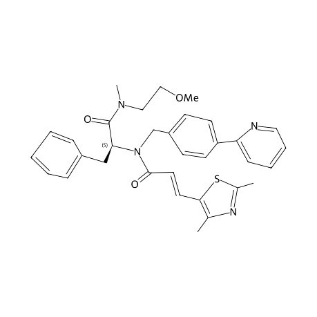 COCCN(C)C(=O)[C@H](Cc1ccccc1)N(Cc1ccc(-c2ccccn2)cc1)C(=O)C=Cc1sc(C)nc1C